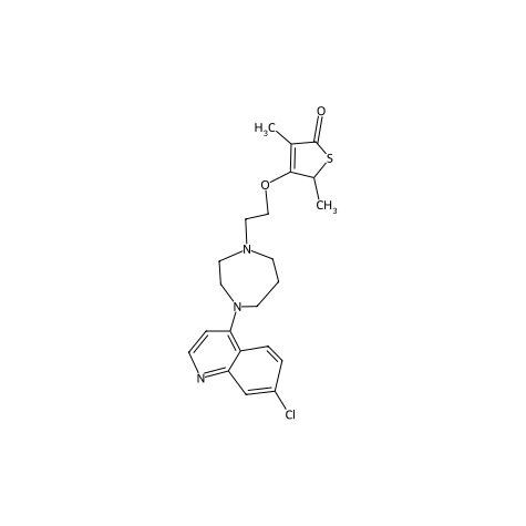 CC1=C(OCCN2CCCN(c3ccnc4cc(Cl)ccc34)CC2)C(C)SC1=O